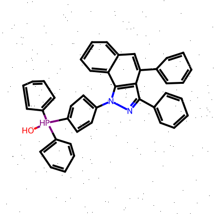 O[PH](c1ccccc1)(c1ccccc1)c1ccc(-n2nc(-c3ccccc3)c3c(-c4ccccc4)cc4ccccc4c32)cc1